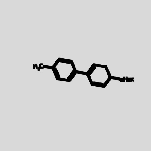 CCCCCCC1C=CC(c2ccc(C)cc2)=CC1